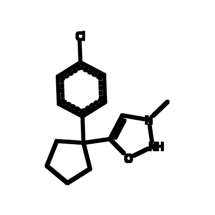 CN1C=C(C2(c3ccc(Cl)cc3)CCCC2)ON1